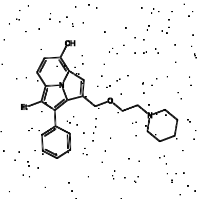 CCc1c(-c2ccccc2)c2c(COCCN3CCCCC3)cc3c(O)ccc1n32